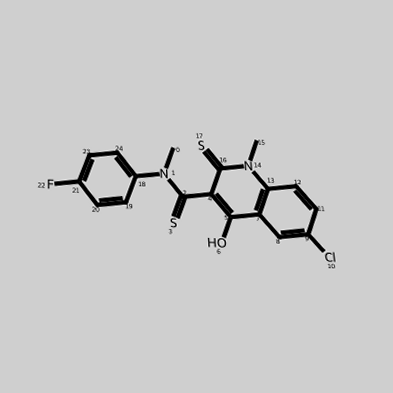 CN(C(=S)c1c(O)c2cc(Cl)ccc2n(C)c1=S)c1ccc(F)cc1